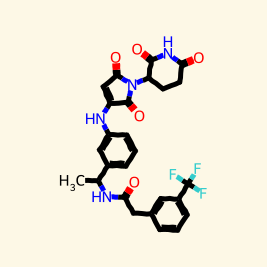 CC(NC(=O)Cc1cccc(C(F)(F)F)c1)c1cccc(NC2=CC(=O)N(C3CCC(=O)NC3=O)C2=O)c1